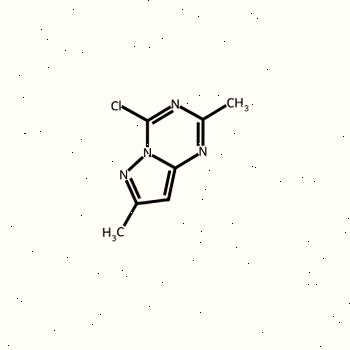 Cc1cc2nc(C)nc(Cl)n2n1